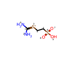 NC(N)=[S+]CCS(=O)(=O)O